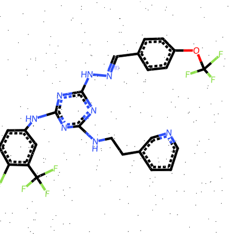 Fc1ccc(Nc2nc(NCCc3cccnc3)nc(N/N=C/c3ccc(OC(F)(F)F)cc3)n2)cc1C(F)(F)F